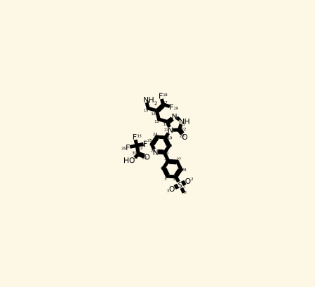 CS(=O)(=O)c1ccc(-c2cc(-n3c(CC(CN)=C(F)F)n[nH]c3=O)ccn2)cc1.O=C(O)C(F)(F)F